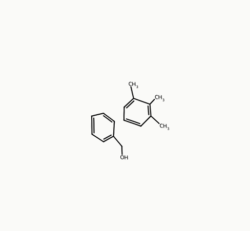 Cc1cccc(C)c1C.OCc1ccccc1